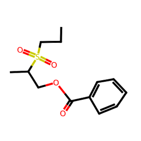 CCCS(=O)(=O)C(C)COC(=O)c1ccccc1